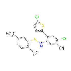 N#Cc1cc(NSc2cc(C(=O)O)ccc2C2CC2)c(-c2ccc(Cl)s2)cc1Cl